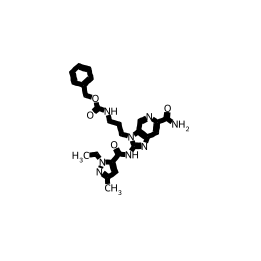 CCn1nc(C)cc1C(=O)Nc1nc2cc(C(N)=O)ncc2n1CCCNC(=O)OCc1ccccc1